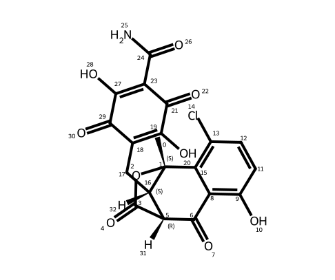 C[C@@]12OC(=O)[C@@H](C(=O)c3c(O)ccc(Cl)c31)[C@@H]2CC1=C(O)C(=O)C(C(N)=O)=C(O)C1=O